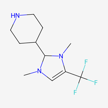 CN1C=C(C(F)(F)F)N(C)C1C1CCNCC1